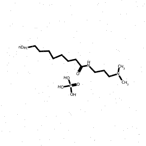 CCCCCCCCCCCCCCCCCC(=O)NCCCN(C)C.O=P(O)(O)O